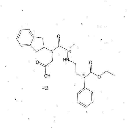 CCOC(=O)[C@@H](CCN[C@@H](C)C(=O)N(CC(=O)O)C1Cc2ccccc2C1)c1ccccc1.Cl